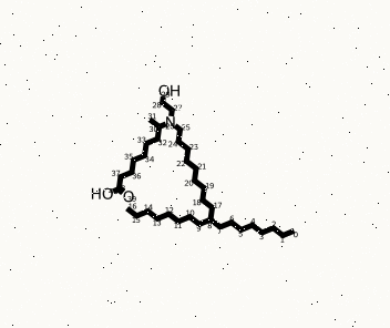 CCCCCCCCC(CCCCCCCC)CCCCCCCCCN(CCO)C(C)CCCCCCC(=O)O